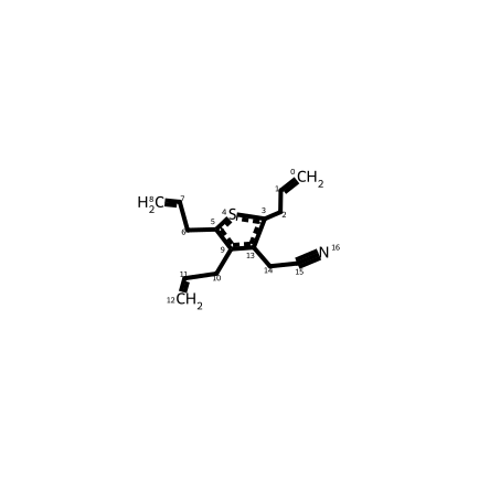 C=CCc1sc(CC=C)c(CC=C)c1CC#N